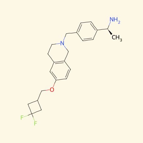 C[C@H](N)c1ccc(CN2CCc3cc(OCC4CC(F)(F)C4)ccc3C2)cc1